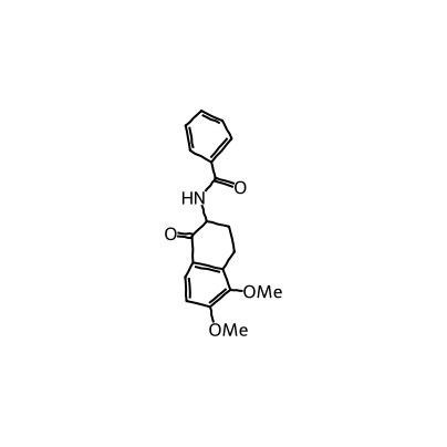 COc1ccc2c(c1OC)CCC(NC(=O)c1ccccc1)C2=O